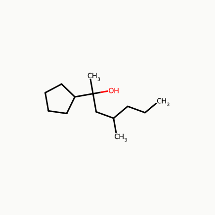 CCCC(C)CC(C)(O)C1CCCC1